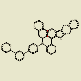 c1ccc(-c2cccc(-c3ccc(N(c4ccc5ccccc5c4)c4ccccc4-c4cccc5c4oc4cc6ccccc6cc45)cc3)c2)cc1